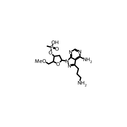 COCC1OC(n2nc(CCCN)c3c(N)ncnc32)CC1OP(C)(=O)O